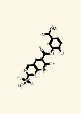 COC(=O)c1ccc(Cl)c(NC(=O)c2cc3cnc(S(C)(=O)=O)nc3[nH]c2=O)c1